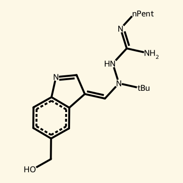 CCCCC/N=C(\N)NN(/C=C1\C=Nc2ccc(CO)cc21)C(C)(C)C